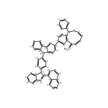 C=C1/C=C\C=C/CN(c2ccccc2)c2ccc(-c3ccc4c(c3)c3ccccc3n4-c3ccc(-n4c(-c5cccc6ccccc56)nc5ccccc54)cc3)cc21